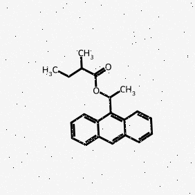 CCC(C)C(=O)OC(C)c1c2ccccc2cc2ccccc12